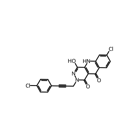 O=c1c2ccc(Cl)cc2[nH]c2c(O)nn(CC#Cc3ccc(Cl)cc3)c(=O)c12